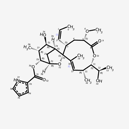 C/C=C\[C@@H]1C[C@H](OC)C(=O)O[C@H]([C@@H](C)O)[C@H](C)/C=C(\C)[C@]12O[C@@H]1C[C@H]2[C@H](O)[C@@H](C)[C@H]1OC(=O)c1ccc[nH]1